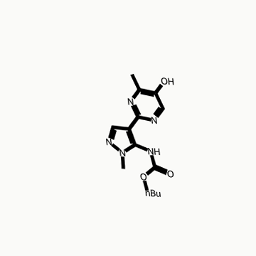 CCCCOC(=O)Nc1c(-c2ncc(O)c(C)n2)cnn1C